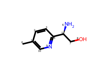 Cc1ccc([C@@H](N)CO)nc1